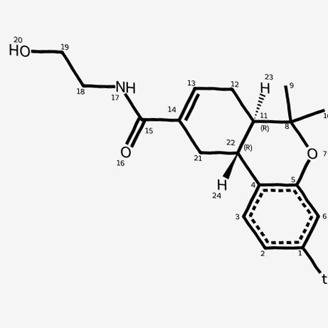 CC(C)(C)c1ccc2c(c1)OC(C)(C)[C@@H]1CC=C(C(=O)NCCO)C[C@@H]21